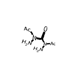 CC(=O)N(N)C(=O)N(N)C(C)=O